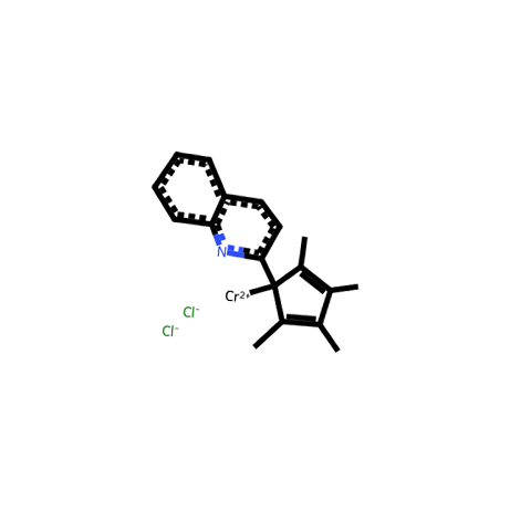 CC1=C(C)[C]([Cr+2])(c2ccc3ccccc3n2)C(C)=C1C.[Cl-].[Cl-]